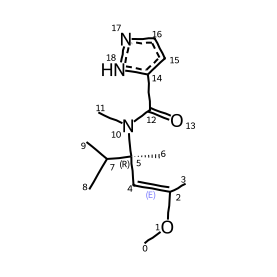 CO/C(C)=C/[C@@](C)(C(C)C)N(C)C(=O)c1ccn[nH]1